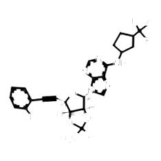 CC1(C)O[C@H]2[C@H](O1)[C@@H](C#Cc1ccccc1F)O[C@H]2n1cnc2c(NC3CCC(C(F)(F)F)C3)ncnc21